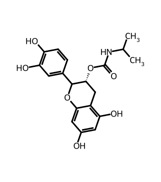 CC(C)NC(=O)O[C@@H]1Cc2c(O)cc(O)cc2OC1c1ccc(O)c(O)c1